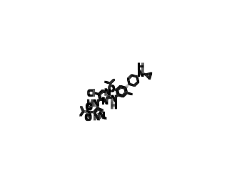 Cc1cc(Nc2ncc(Cl)c(Nc3cn(C)nc3S(=O)(=O)C(C)C)n2)c(OC(C)C)cc1[C@H]1CC[C@@H](NC2CC2)CC1